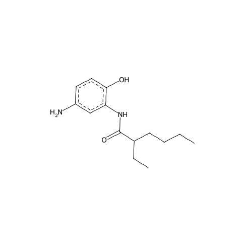 CCCCC(CC)C(=O)Nc1cc(N)ccc1O